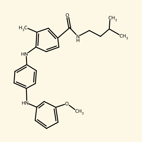 COc1cccc(Nc2ccc(Nc3ccc(C(=O)NCCC(C)C)cc3C)cc2)c1